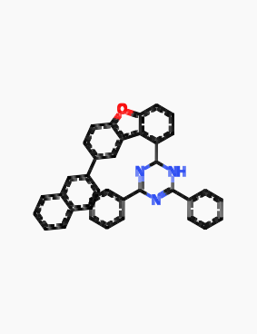 c1ccc(C2=NC(c3cccc4oc5ccc(-c6ccc7ccccc7c6)cc5c34)NC(c3ccccc3)=N2)cc1